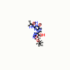 CO[C@H](CO[Si](C)(C)C(C)(C)C)[C@H](O)[C@@H](N=[N+]=[N-])n1cnc2c(=O)[nH]c(NC(=O)C(C)C)nc21